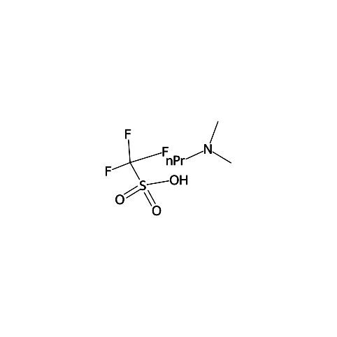 CCCN(C)C.O=S(=O)(O)C(F)(F)F